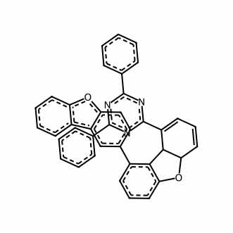 C1=CC2Oc3cccc(-c4ccc5oc6ccccc6c5c4)c3C2C(c2nc(-c3ccccc3)nc(-c3ccccc3)n2)=C1